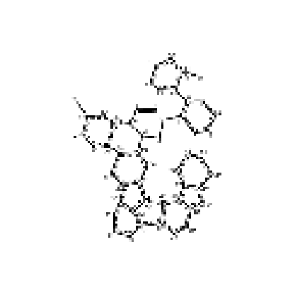 C=CC1C(CCc2ccccc2-c2cccc[n+]2C)c2cc3c(cc2-c2ccc(C)c[n+]21)c1cccc2c4ccc5sc6ccccc6c5c4n3c12